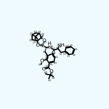 COc1c(C[C@H](NC(=O)C(N)Cc2ccccc2)B2OC3CC4CC(C4(C)C)[C@]3(C)O2)cccc1C(=O)OC(C)(C)C